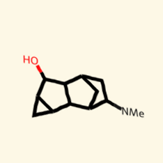 CNC1CC2CC1C1C3CC3C(O)C21